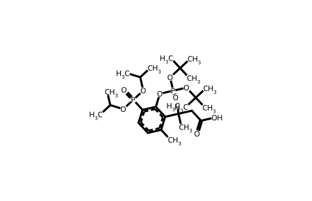 Cc1ccc(P(=O)(OC(C)C)OC(C)C)c(OP(=O)(OC(C)(C)C)OC(C)(C)C)c1C(C)(C)CC(=O)O